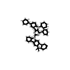 CC1(C)c2ccccc2-c2cc3c(cc21)c1ccccc1n3-c1nc(-c2ccccc2)c2c(n1)c1cc(-c3ccccc3)ccc1n2-c1ccccc1